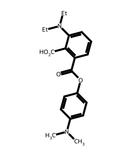 CCN(CC)c1cccc(C(=O)Oc2ccc(N(C)C)cc2)c1C(=O)O